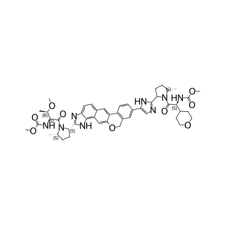 COC(=O)N[C@H](C(=O)N1C(c2ncc(-c3ccc4c(c3)COc3cc5c(ccc6nc([C@@H]7CC[C@H](C)N7C(=O)[C@@H](NC(=O)OC)[C@@H](C)OC)[nH]c65)cc3-4)[nH]2)CC[C@@H]1C)C1CCOCC1